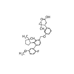 COc1ccc(F)c(-c2ccc(COc3cccc([C@H](CC(=O)O)C4(C)CC4)c3)cc2[C@H]2CCCC2(C)C)c1